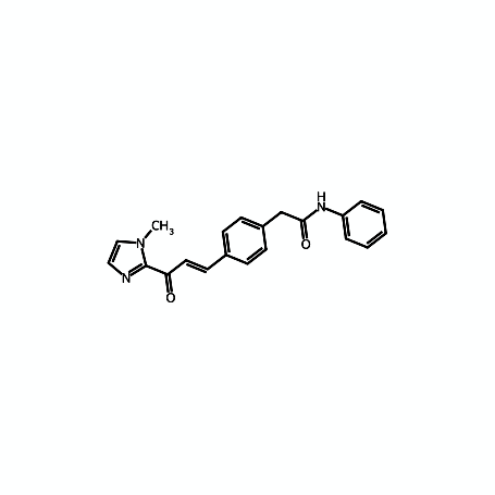 Cn1ccnc1C(=O)C=Cc1ccc(CC(=O)Nc2ccccc2)cc1